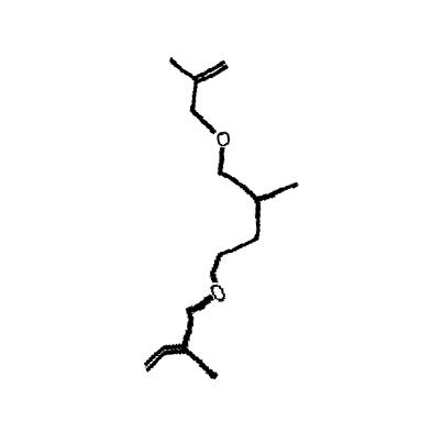 C=C(C)COCCC(C)COCC(=C)C